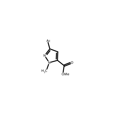 COC(=O)c1cc(C(C)=O)nn1C